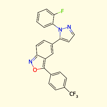 Fc1ccccc1-n1nccc1-c1ccc2noc(-c3ccc(C(F)(F)F)cc3)c2c1